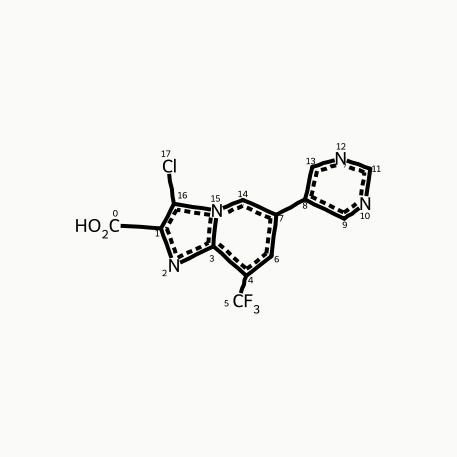 O=C(O)c1nc2c(C(F)(F)F)cc(-c3cncnc3)cn2c1Cl